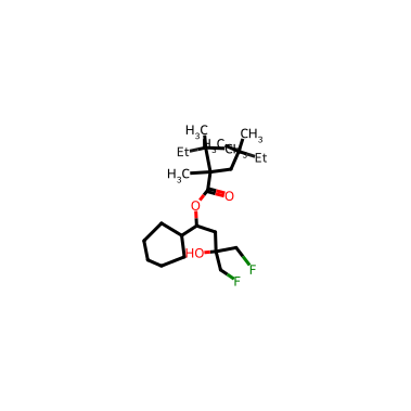 CCC(C)(C)CC(C)(C(=O)OC(CC(O)(CF)CF)C1CCCCC1)C(C)(C)CC